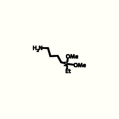 CC[Si](CCCCN)(OC)OC